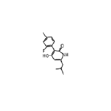 Cc1ccc(-c2c(O)cc(CC(C)C)[nH]c2=O)c(F)c1